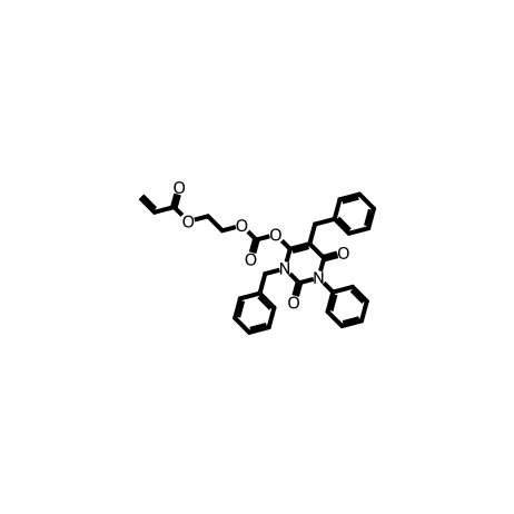 C=CC(=O)OCCOC(=O)Oc1c(Cc2ccccc2)c(=O)n(-c2ccccc2)c(=O)n1Cc1ccccc1